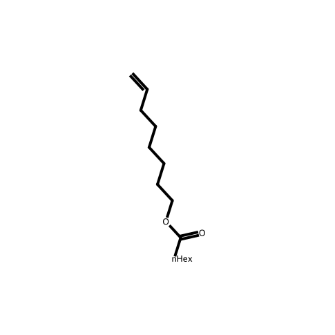 C=CCCCCCCOC(=O)CCCCCC